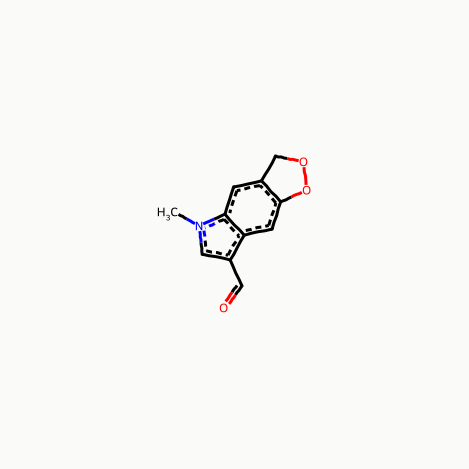 Cn1cc(C=O)c2cc3c(cc21)COO3